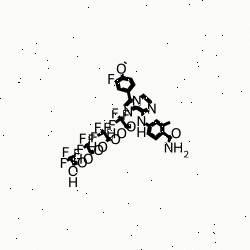 COc1ccc(-c2cnc3c(Nc4ccc(C(N)=O)c(C)c4)nccn23)cc1F.O=C(O)C(F)(F)F.O=C(O)C(F)(F)F.O=C(O)C(F)(F)F.O=C(O)C(F)(F)F